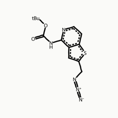 CC(C)(C)OC(=O)Nc1nccc2sc(CN=[N+]=[N-])cc12